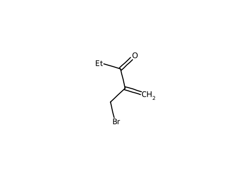 C=C(CBr)C(=O)CC